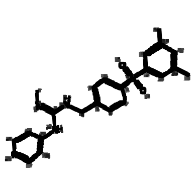 C/N=C(\NCc1ccc(S(=O)(=O)c2cc(C)cc(C)c2)cc1)Nc1ccncc1